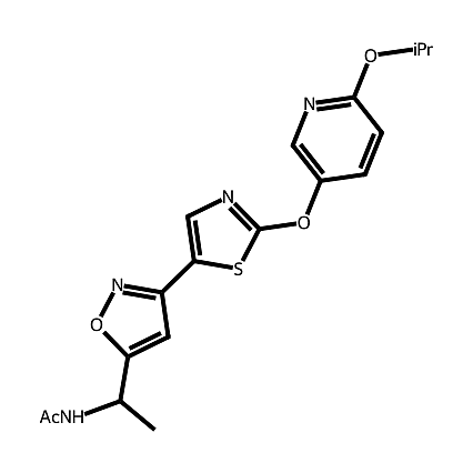 CC(=O)NC(C)c1cc(-c2cnc(Oc3ccc(OC(C)C)nc3)s2)no1